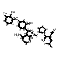 CC(C)/C=C(/C#N)C(=O)N1CCC[C@H]1Cn1nc(-c2ccc(Oc3cccc(F)c3F)cc2F)c2c(N)ncnc21